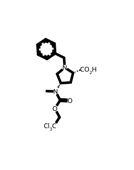 CN(C(=O)OCC(Cl)(Cl)Cl)[C@H]1C[C@@H](C(=O)O)N(Cc2ccccc2)C1